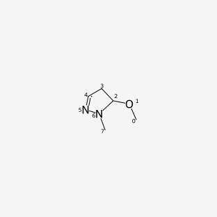 COC1C[C]=NN1C